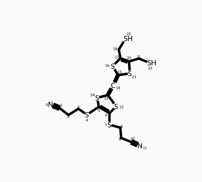 N#CCCSC1=C(SCCC#N)SC(=C=C2SC(CS)=C(CS)S2)S1